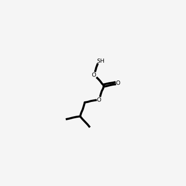 CC(C)COC(=O)OS